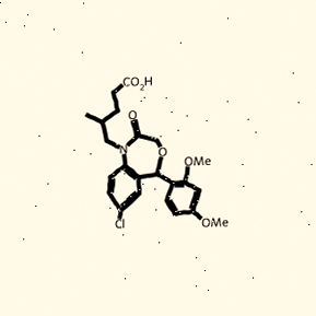 COc1ccc(C2OCC(=O)N(CC(C)CCC(=O)O)c3ccc(Cl)cc32)c(OC)c1